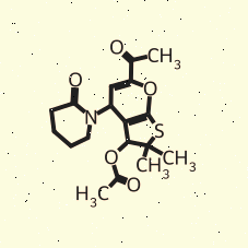 CC(=O)OC1C2=C(OC(C(C)=O)=CC2N2CCCCC2=O)SC1(C)C